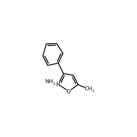 Cc1cc(-c2ccccc2)no1.N